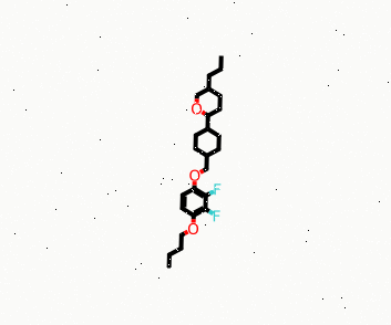 CCCCOc1ccc(OCC2CCC(C3CCC(CCC)CO3)CC2)c(F)c1F